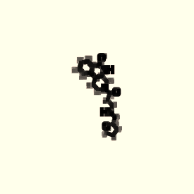 O=C(CCNC[C@H]1CCCO1)N1CCc2c([nH]c(=O)c3ccccc23)C1